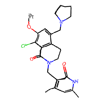 Cc1cc(C)c(CN2CCc3c(CN4CCCC4)cc(OC(C)C)c(Cl)c3C2=O)c(=O)[nH]1